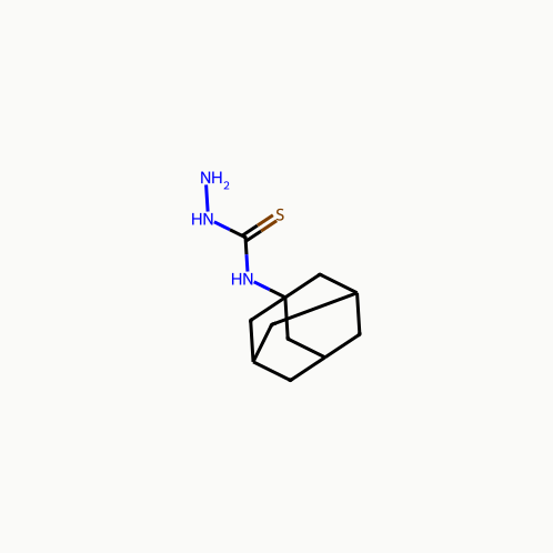 NNC(=S)NC12CC3CC(CC(C3)C1)C2